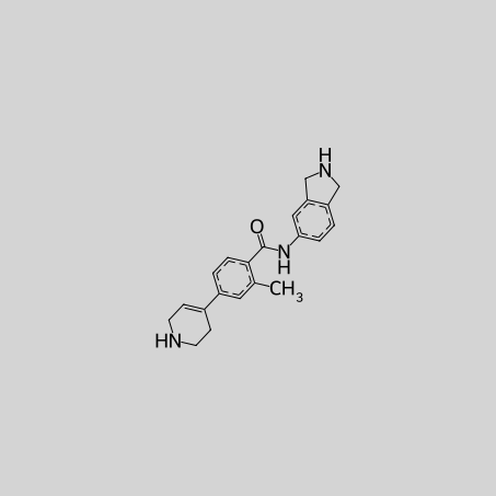 Cc1cc(C2=CCNCC2)ccc1C(=O)Nc1ccc2c(c1)CNC2